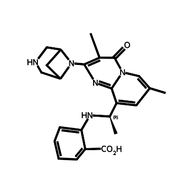 Cc1cc([C@@H](C)Nc2ccccc2C(=O)O)c2nc(N3C4CNCC3C4)c(C)c(=O)n2c1